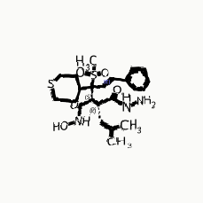 CC(C)C[C@@H](C(=O)NN)[C@@H](C(=O)NO)C(/C=C/c1ccccc1)(C1CCSCC1)S(C)(=O)=O